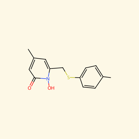 Cc1ccc(SCc2cc(C)cc(=O)n2O)cc1